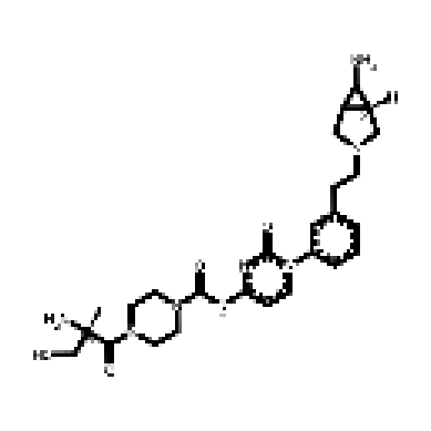 C[C@](N)(CO)C(=O)N1CCN(C(=O)Nc2ccn(-c3cccc(CCN4CC5C(N)[C@@H]5C4)c3)c(=O)n2)CC1